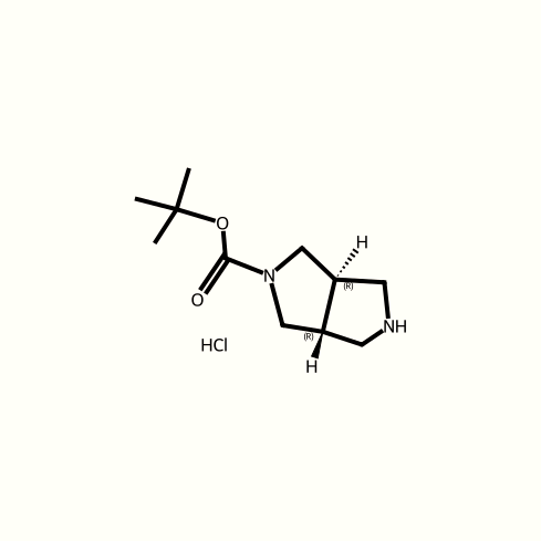 CC(C)(C)OC(=O)N1C[C@H]2CNC[C@@H]2C1.Cl